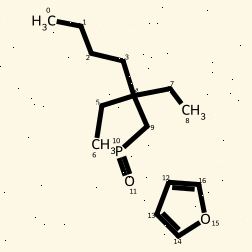 CCCCC(CC)(CC)CP=O.c1ccoc1